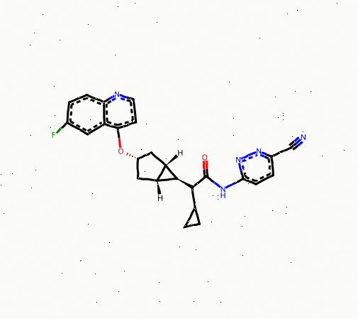 N#Cc1ccc(NC(=O)C(C2CC2)[C@H]2[C@@H]3C[C@H](Oc4ccnc5ccc(F)cc45)C[C@@H]32)nn1